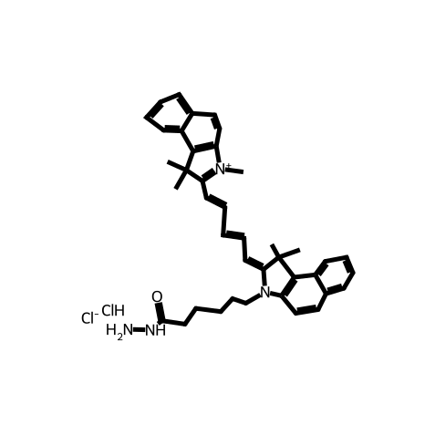 C[N+]1=C(/C=C/C=C/C=C2/N(CCCCCC(=O)NN)c3ccc4ccccc4c3C2(C)C)C(C)(C)c2c1ccc1ccccc21.Cl.[Cl-]